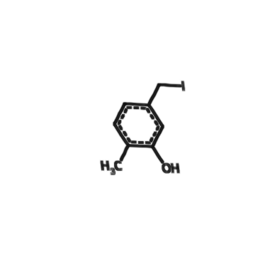 Cc1ccc(CI)cc1O